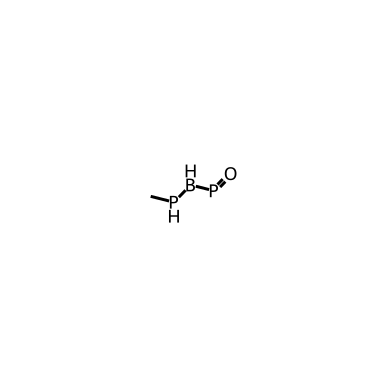 CPBP=O